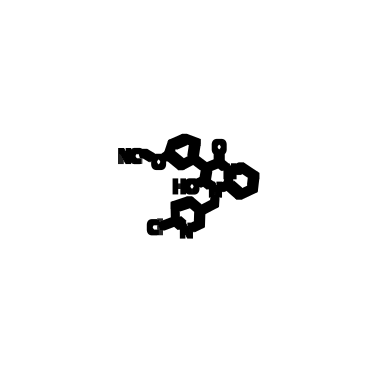 N#CCOc1cccc(-c2c(O)n(Cc3ccc(Cl)nc3)c3cccc[n+]3c2=O)c1